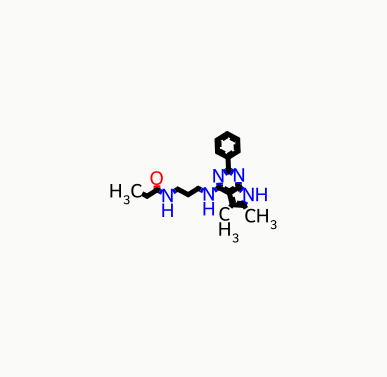 CCC(=O)NCCCNc1nc(-c2ccccc2)nc2[nH]c(C)c(C)c12